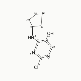 Oc1cnc(Cl)nc1NC1CCCC1